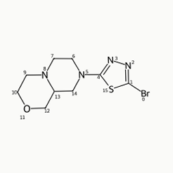 Brc1nnc(N2CCN3CCOCC3C2)s1